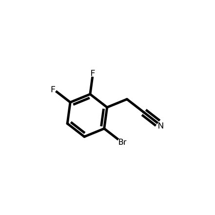 N#CCc1c(Br)ccc(F)c1F